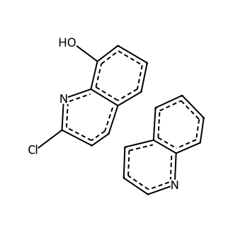 Oc1cccc2ccc(Cl)nc12.c1ccc2ncccc2c1